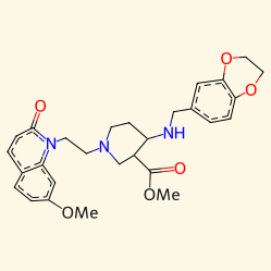 COC(=O)C1CN(CCn2c(=O)ccc3ccc(OC)cc32)CCC1NCc1ccc2c(c1)OCCO2